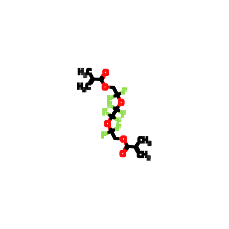 C=C(C)C(=O)OCC(F)(F)OC(F)(F)C(F)(F)OC(F)(F)COC(=O)C(=C)C